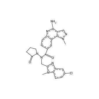 Cn1ncc2c(N)nc3ccc(C(=O)N(Cc4nc5cc(Cl)ccc5n4C)N4CCCC4=O)cc3c21